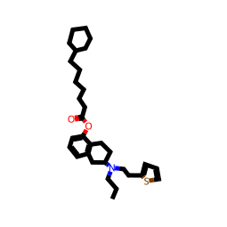 CCCN(CCc1cccs1)C1CCc2c(cccc2OC(=O)CCCCCCC2CCCCC2)C1